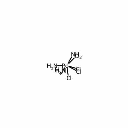 [NH2][Pd]([NH2])([NH2])([NH2])([Cl])([Cl])([Cl])[Cl]